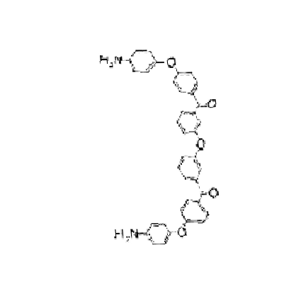 Nc1ccc(Oc2ccc(C(=O)c3cccc(Oc4cccc(C(=O)c5ccc(Oc6ccc(N)cc6)cc5)c4)c3)cc2)cc1